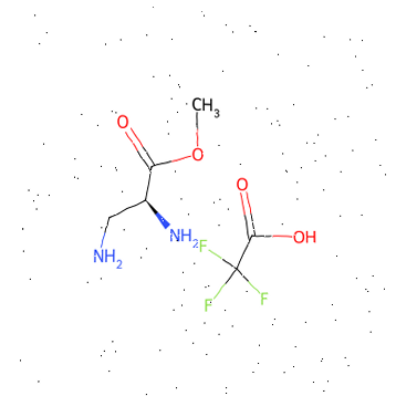 COC(=O)[C@@H](N)CN.O=C(O)C(F)(F)F